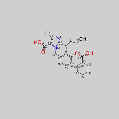 CCCCc1nc(Cl)c(C(=O)O)n1Cc1ccc([C@H]2CCCC[C@@H]2C(=O)O)cc1